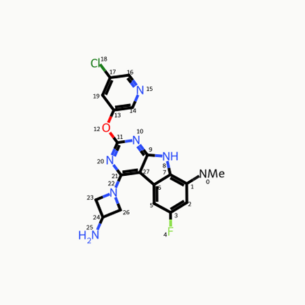 CNc1cc(F)cc2c1[nH]c1nc(Oc3cncc(Cl)c3)nc(N3CC(N)C3)c12